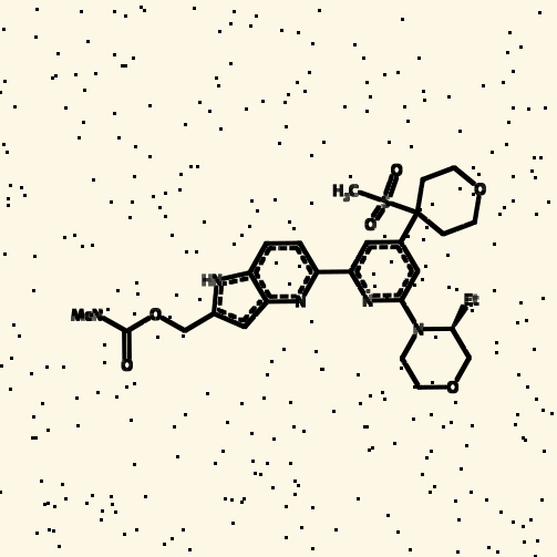 CC[C@H]1COCCN1c1cc(C2(S(C)(=O)=O)CCOCC2)cc(-c2ccc3[nH]c(COC(=O)NC)cc3n2)n1